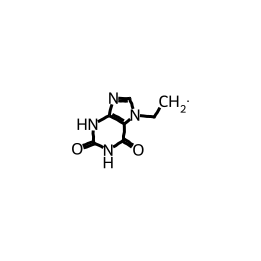 [CH2]Cn1cnc2[nH]c(=O)[nH]c(=O)c21